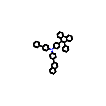 c1ccc(-c2ccc(N(c3ccc(-c4ccc5ccccc5c4)cc3)c3ccc(-c4c(-c5ccccc5)c5ccccc5c5ccccc45)cc3)cc2)cc1